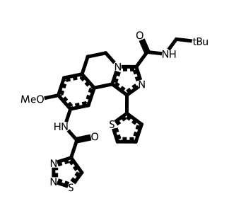 COc1cc2c(cc1NC(=O)c1csnn1)-c1c(-c3cccs3)nc(C(=O)NCC(C)(C)C)n1CC2